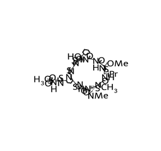 CNC(=O)C[C@@H]1NC(=O)c2csc(n2)-c2ccc(-c3nc(NS(C)(=O)=O)cs3)nc2-c2csc(n2)-c2csc(n2)[C@H]([C@@H](O)c2ccccc2)NC(=O)CNC(=O)c2nc(sc2COC)C(C(C)C)NC(=O)c2nc1sc2C